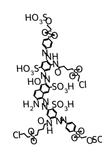 Nc1ccc2c(O)c(/N=N/c3cc(NC(=O)CCCS(=O)(=O)CCCl)c(/N=N/c4ccc(S(=O)(=O)CCOS(=O)(=O)O)cc4)cc3S(=O)(=O)O)c(S(=O)(=O)O)cc2c1/N=N/c1cc(NC(=O)CCCS(=O)(=O)CCCl)c(/N=N/c2ccc(S(=O)(=O)CCOS(=O)(=O)O)cc2)cc1S(=O)(=O)O